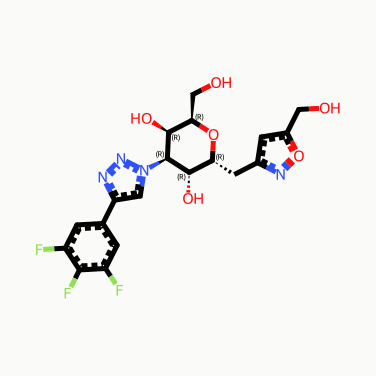 OCc1cc(C[C@H]2O[C@H](CO)[C@H](O)[C@H](n3cc(-c4cc(F)c(F)c(F)c4)nn3)[C@H]2O)no1